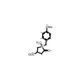 COc1ccc(C[N+]2(C)CC(C(=O)[O-])CC2=O)cc1